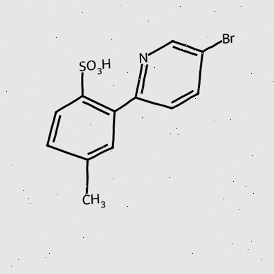 Cc1ccc(S(=O)(=O)O)c(-c2ccc(Br)cn2)c1